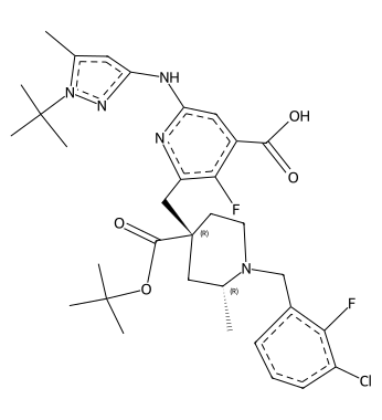 Cc1cc(Nc2cc(C(=O)O)c(F)c(C[C@@]3(C(=O)OC(C)(C)C)CCN(Cc4cccc(Cl)c4F)[C@H](C)C3)n2)nn1C(C)(C)C